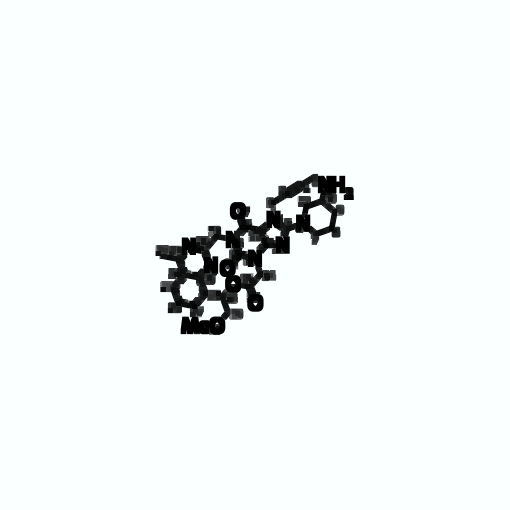 CC#CCn1c(N2CCCC(N)C2)nc2c1c(=O)n(Cc1nc(C)c3ccccc3n1)c(=O)n2CC(=O)OCCOC